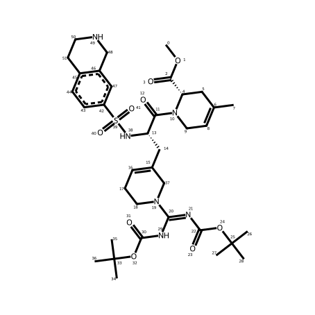 COC(=O)[C@@H]1CC(C)=CCN1C(=O)[C@H](CC1=CCCN(C(=NC(=O)OC(C)(C)C)NC(=O)OC(C)(C)C)C1)NS(=O)(=O)c1ccc2c(c1)CNCC2